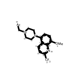 COc1ccc(N2CCN(CC(C)=O)CC2)c2ccc(C(F)(F)F)nc12